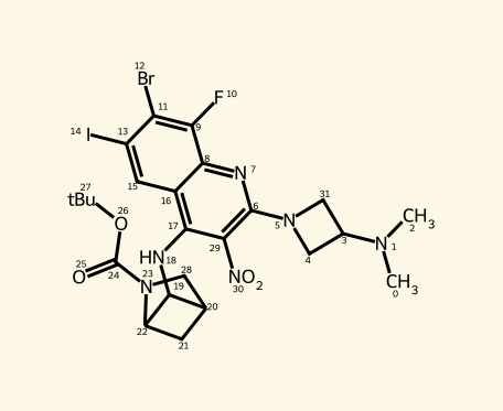 CN(C)C1CN(c2nc3c(F)c(Br)c(I)cc3c(NC3C4CC3N(C(=O)OC(C)(C)C)C4)c2[N+](=O)[O-])C1